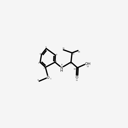 COc1ccccc1NC(C(=O)O)C(C)C